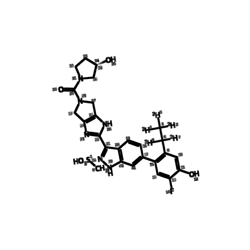 CS(=O)(=O)O.[2H]C([2H])([2H])C([2H])([2H])c1cc(O)c(F)cc1-c1ccc2c(-c3nc4c([nH]3)CN(C(=O)N3CC[C@H](O)C3)C4)n[nH]c2c1